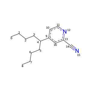 CCCCC(CCCC)c1ccnc(C#N)c1